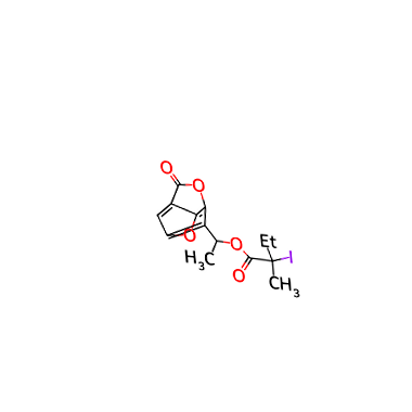 CCC(C)(I)C(=O)OC(C)c1c2c3oc1cc3C(=O)O2